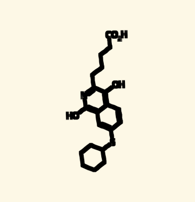 O=C(O)CCCCc1nc(O)c2cc(SC3CCCCC3)ccc2c1O